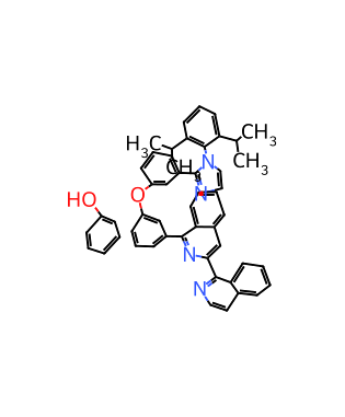 CC(C)c1cccc(C(C)C)c1-n1ccnc1-c1cccc(Oc2cccc(-c3nc(-c4nccc5ccccc45)cc4ccccc34)c2)c1.Oc1ccccc1